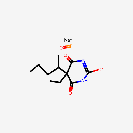 CCCC(C)C1(CC)C(=O)N=C([O-])NC1=O.O=P.[Na+]